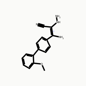 COc1ccccc1-c1ccc(/C(N)=C(\C#N)NN)cc1